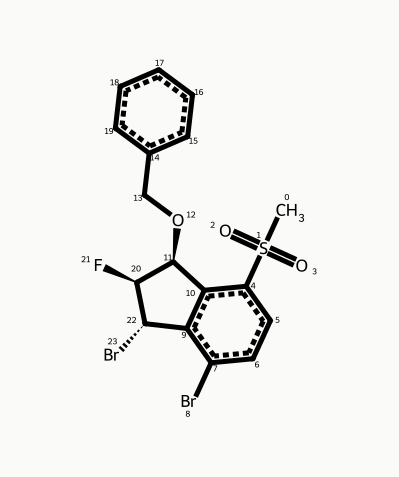 CS(=O)(=O)c1ccc(Br)c2c1[C@H](OCc1ccccc1)[C@H](F)[C@H]2Br